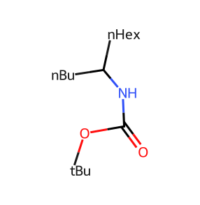 CCCCCCC(CCCC)NC(=O)OC(C)(C)C